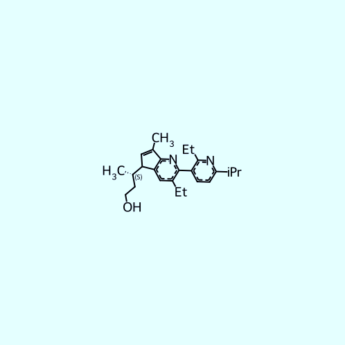 CCc1cc2c(nc1-c1ccc(C(C)C)nc1CC)C(C)=CC2[C@@H](C)CCO